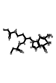 CCC(=O)OCCC(COC(=O)CC)Cn1cnc2c(=O)[nH]c(N)nc21